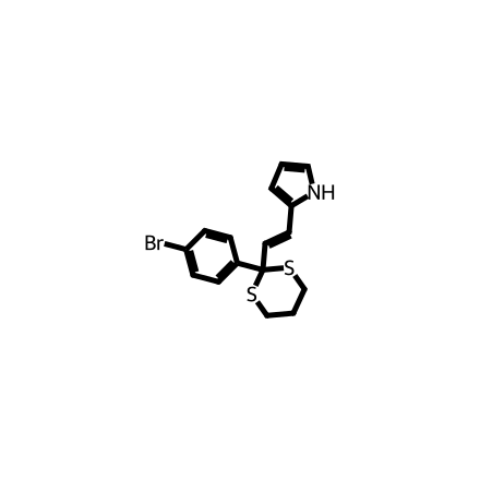 Brc1ccc(C2(C=Cc3ccc[nH]3)SCCCS2)cc1